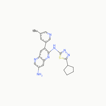 CC(C)(C)c1cncc(-c2cc3ncc(N)cc3nc2Nc2nnc(C3CCCC3)s2)c1